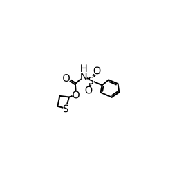 O=C(NS(=O)(=O)c1ccccc1)OC1CCS1